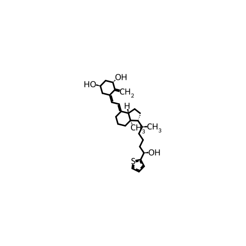 C=C1/C(=C\C=C2/CCC[C@]3(C)[C@@H]([C@@H](C)CCC[C@@H](O)c4cccs4)CC[C@@H]23)C[C@@H](O)C[C@@H]1O